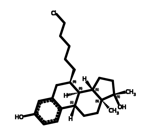 C[C@]1(O)CC[C@H]2[C@@H]3[C@H](CCCCCCl)Cc4cc(O)ccc4[C@H]3CC[C@@]21C